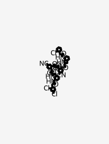 N#Cc1ccc(NC(=O)c2cc3cccc(NC(=O)Cc4ccccc4Cl)c3[nH]2)c(C(=O)OC(=O)c2cc(C#N)ccc2NC(=O)c2cc3cccc(NC(=O)Cc4ccc(Cl)cc4Cl)c3[nH]2)c1